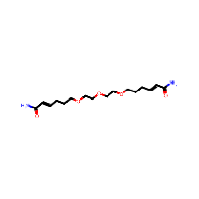 NC(=O)C=CCCCOCCOCCOCCCC=CC(N)=O